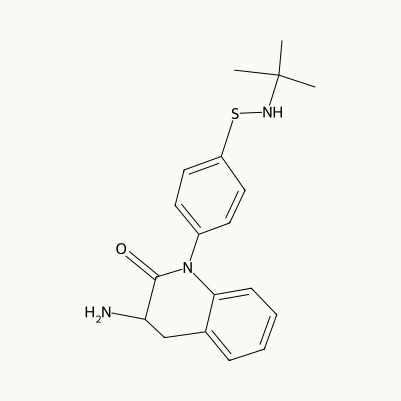 CC(C)(C)NSc1ccc(N2C(=O)C(N)Cc3ccccc32)cc1